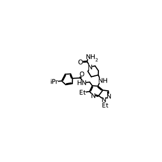 CCc1nc2c(cnn2CC)c(NC2CCN(C(N)=O)CC2)c1CNC(=O)c1ccc(C(C)C)cc1